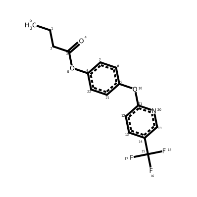 CCCC(=O)Oc1ccc(Oc2ccc(C(F)(F)F)cn2)cc1